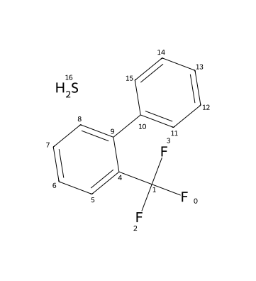 FC(F)(F)c1ccccc1-c1ccccc1.S